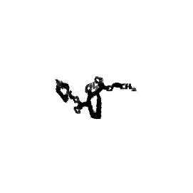 C=COC(=O)c1cccc(C(=O)On2ccnc2)c1C